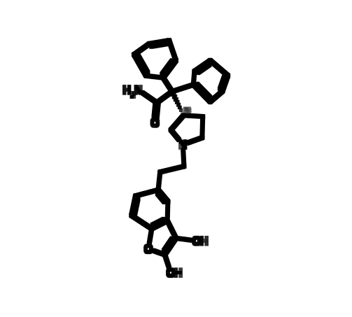 NC(=O)C(c1ccccc1)(c1ccccc1)[C@@H]1CCN(CCc2ccc3oc(O)c(O)c3c2)C1